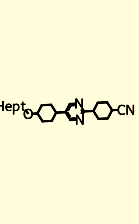 CCCCCCCOC1CCC(c2cnc(C3CCC(C#N)CC3)nc2)CC1